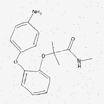 CNC(=O)C(C)(C)Oc1ccccc1Oc1ccc(N)cc1